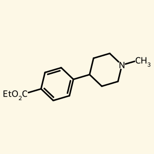 CCOC(=O)c1ccc(C2CCN(C)CC2)cc1